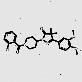 COc1ccc(C2=NN(C3CCN(C(=O)c4ccccc4Cl)CC3)C(=O)C2(C)C)cc1OC